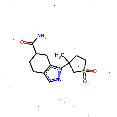 CC1(n2ncc3c2CC(C(N)=O)CC3)CCS(=O)(=O)C1